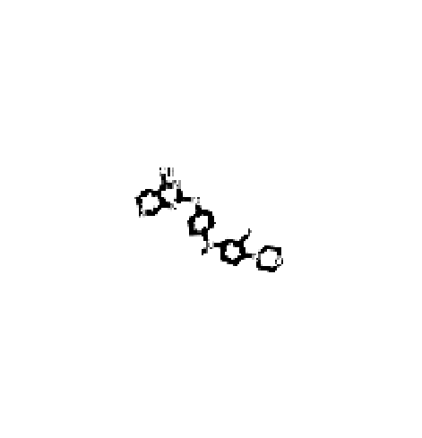 CN(c1ccc(Oc2nc(O)c3ccncc3n2)cc1)c1ccc(N2CCOCC2)c(F)c1